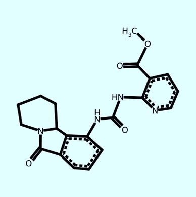 COC(=O)c1cccnc1NC(=O)Nc1cccc2c1C1CCCCN1C2=O